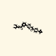 CCC(CC)CNC(=O)c1cccc(N2CCN(CC(=O)N3CCN(C4CCC4)CC3)CC2)c1